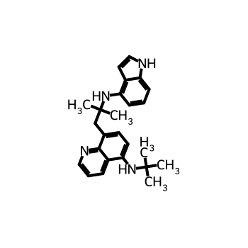 CC(C)(C)Nc1ccc(CC(C)(C)Nc2cccc3[nH]ccc23)c2ncccc12